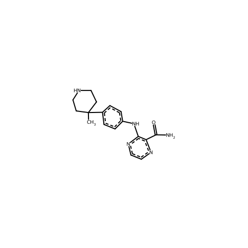 CC1(c2ccc(Nc3nccnc3C(N)=O)cc2)CCNCC1